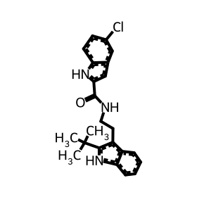 CC(C)(C)c1[nH]c2ccccc2c1CCNC(=O)c1cc2cc(Cl)ccc2[nH]1